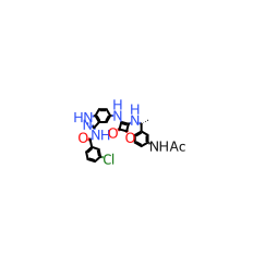 CC(=O)Nc1cccc([C@@H](C)Nc2c(Nc3ccc4[nH]nc(NC(=O)c5cccc(Cl)c5)c4c3)c(=O)c2=O)c1